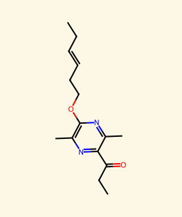 CCC=CCCOc1nc(C)c(C(=O)CC)nc1C